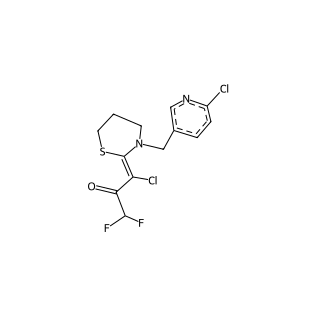 O=C(C(Cl)=C1SCCCN1Cc1ccc(Cl)nc1)C(F)F